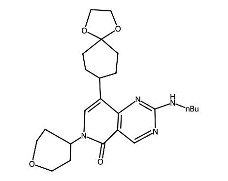 CCCCNc1ncc2c(=O)n(C3CCOCC3)cc(C3CCC4(CC3)OCCO4)c2n1